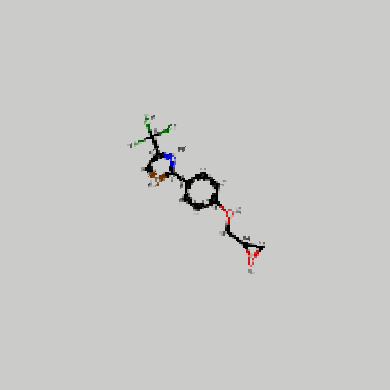 FC(F)(F)c1csc(-c2ccc(OCC3CO3)cc2)n1